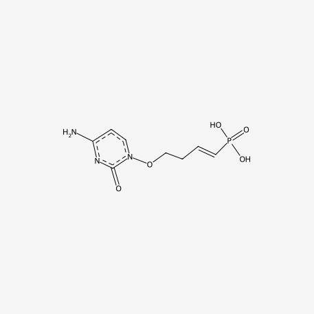 Nc1ccn(OCCC=CP(=O)(O)O)c(=O)n1